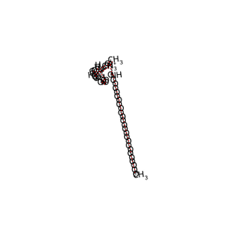 CCCCN1C(=CC=CC=CC2=[N+](CCCCCC(=O)NCCOCCOCCOCCOCCOCCOCCOCCOCCOCCOCCOCCOCCOCCOCCOCCOCCOCCOCCOCCOCCOCCOCCOCCOC)c3ccc(C)cc3C2(C)C)C(C)(CCCCCC(=O)ON2C(=O)CCC2=O)c2c1ccc1c(S(=O)(=O)[O-])cc(S(=O)(=O)O)cc21